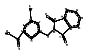 O=C(O)c1cc(Br)cc(CN2C(=O)c3ccccc3C2=O)c1